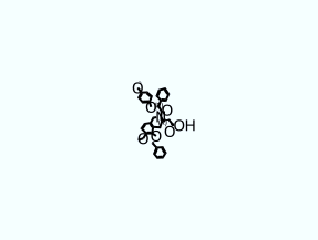 COc1ccc(O[C@@H](C(=O)N2Cc3ccc(OC)c(OCc4ccccc4)c3C[C@@H]2CC(=O)O)c2ccccc2)cc1